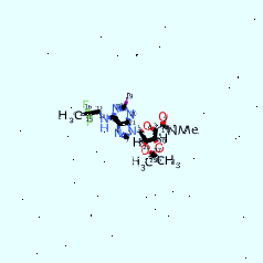 CNC(=O)[C@H]1O[C@@H](n2cnc3c(NCC(C)(F)F)nc(I)nc32)[C@@H]2OC(C)(C)O[C@@H]21